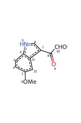 COc1ccc2[nH]cc(C(=O)[C]=O)c2c1